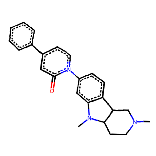 CN1CCC2C(C1)c1ccc(-n3ccc(-c4ccccc4)cc3=O)cc1N2C